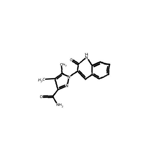 Cc1c(C(N)=O)nn(-c2cc3ccccc3[nH]c2=O)c1C